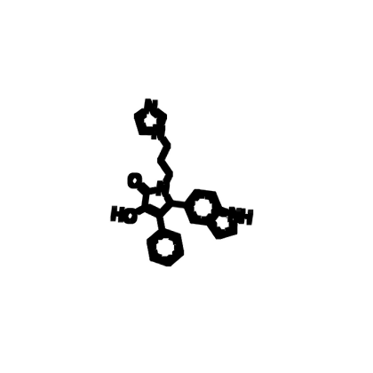 O=C1C(O)=C(c2ccccc2)C(c2ccc3[nH]ccc3c2)N1CCCn1ccnc1